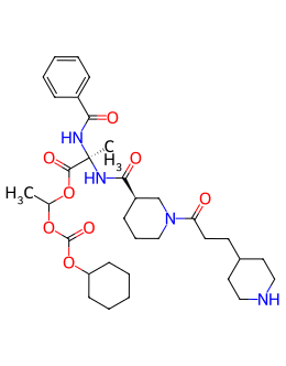 CC(OC(=O)OC1CCCCC1)OC(=O)[C@@](C)(NC(=O)c1ccccc1)NC(=O)[C@@H]1CCCN(C(=O)CCC2CCNCC2)C1